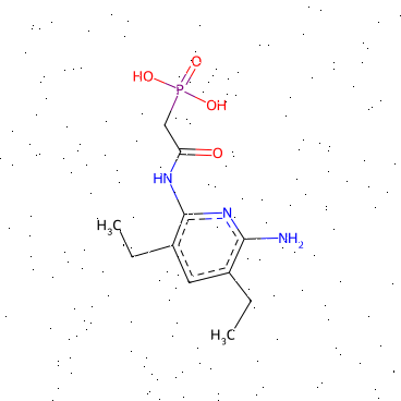 CCc1cc(CC)c(NC(=O)CP(=O)(O)O)nc1N